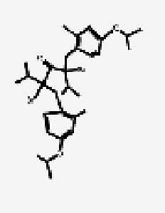 Cc1cc(OC(C)C)ccc1CC(Br)(C(=O)C(Br)(Cc1ccc(OC(C)C)cc1C)C(C)C)C(C)C